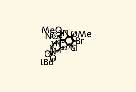 COc1nc2c(OC)c(Br)c(Cl)cc2c(N2CCN(C(=O)OC(C)(C)C)CC2C)c1C#N